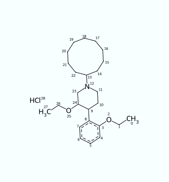 CCOc1ccccc1C1CCN(C2CCCCCCCCC2)CC1OCC.Cl